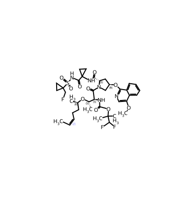 C/C=C\CC[C@@H](C)O[C@@H](C)[C@H](NC(=O)OC(C)(C)C(F)F)C(=O)N1C[C@H](Oc2ncc(OC)c3ccccc23)C[C@H]1C(=O)NC1(C(=O)NS(=O)(=O)C2(CF)CC2)CC1